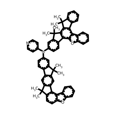 CC1(C)c2cc(N(c3ccncc3)c3ccc4c(c3)C(C)(C)c3c5c(c6c(oc7ccccc76)c3-4)-c3ccccc3C5(C)C)ccc2-c2cc3c(cc21)-c1c(ccc2oc4ccccc4c12)C3(C)C